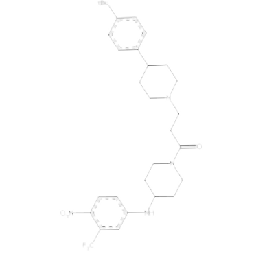 CC(C)(C)c1ccc(C2CCN(CCC(=O)N3CCC(Nc4ccc([N+](=O)[O-])c(C(F)(F)F)c4)CC3)CC2)cc1